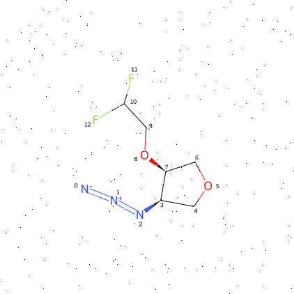 [N-]=[N+]=N[C@@H]1COC[C@@H]1OCC(F)F